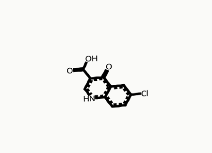 O=C(O)c1c[nH]c2ccc(Cl)cc2c1=O